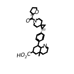 CC12CCC=NC1C(c1ccc([C@H]3CC34CCN(C(=O)[C@H]3CCCO3)CC4)cc1)CC(C(=O)O)C2